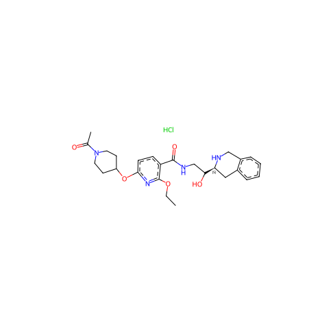 CCOc1nc(OC2CCN(C(C)=O)CC2)ccc1C(=O)NCC(O)[C@@H]1Cc2ccccc2CN1.Cl